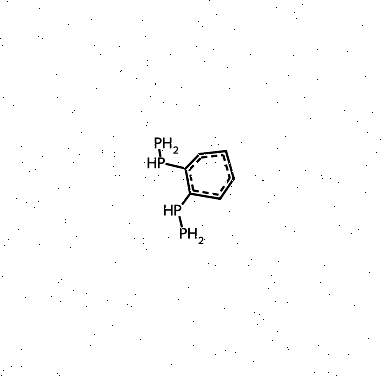 PPc1ccccc1PP